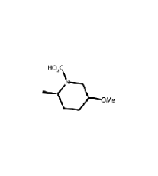 COC1CC[C@@H](C)N(C(=O)O)C1